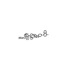 COC(=O)N[C@H](C(=O)N1CCC[C@H]1c1ncc(-c2ccc(-c3ccc(C)c4c3C3C=CC4C3)cc2)[nH]1)C(C)C